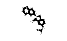 O=C1c2cc(OC(F)F)ccc2CN1c1ccc2ncccc2c1